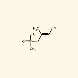 C/C(=C\C#N)CP(C)(C)=O